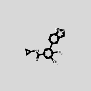 Cc1cc(C(=O)NC2CC2)cc(-c2ccc3[nH]ncc3c2)c1C